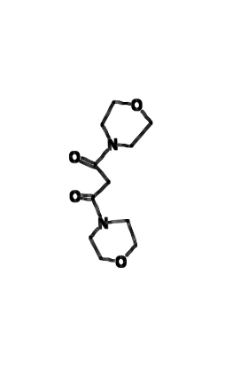 O=C(CC(=O)N1CCOCC1)N1CCOCC1